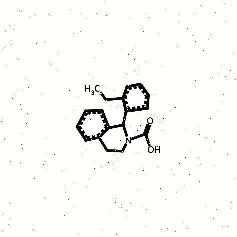 CCc1ccccc1C1c2ccccc2CCN1C(=O)O